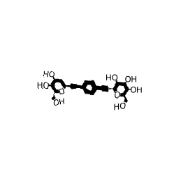 OC[C@H]1O[C@H](C#Cc2ccc(C#C[C@@H]3C[C@@H](O)[C@H](O)[C@@H](CO)O3)cc2)[C@@H](O)[C@@H](O)[C@@H]1O